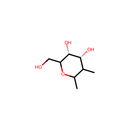 CC1OC(CO)[C@H](O)[C@H](O)C1C